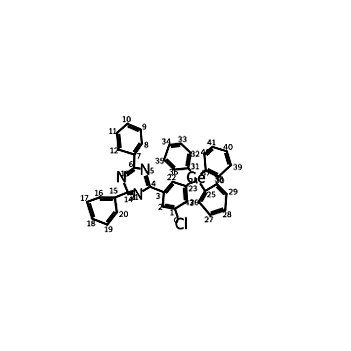 Clc1cc(-c2nc(-c3ccccc3)nc(-c3ccccc3)n2)c[c]([Ge]([c]2ccccc2)([c]2ccccc2)[c]2ccccc2)c1